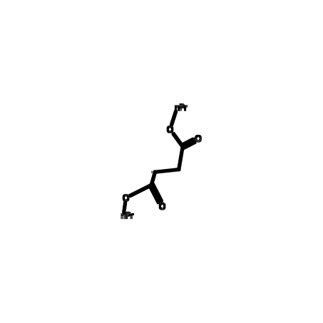 CCCOC(=O)[CH]CC(=O)OCCC